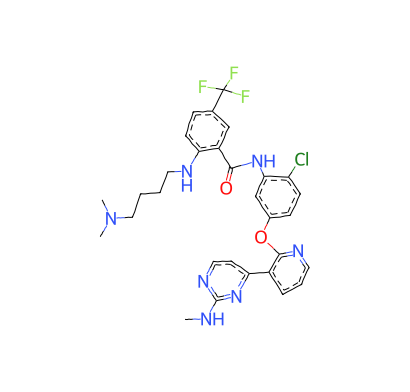 CNc1nccc(-c2cccnc2Oc2ccc(Cl)c(NC(=O)c3cc(C(F)(F)F)ccc3NCCCCN(C)C)c2)n1